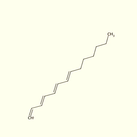 [CH]=CC=CC=CC=CCCCCCC